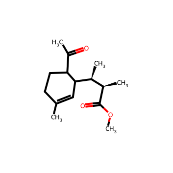 COC(=O)[C@H](C)[C@H](C)C1C=C(C)CCC1C(C)=O